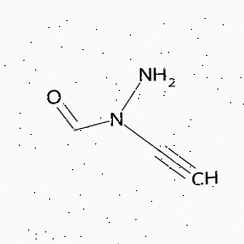 C#CN(N)C=O